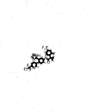 CCC(F)(F)c1ccc(-c2ccc(NC(=O)C3(c4ccc(C(F)(F)F)cc4F)CC3)cc2-c2nnn[nH]2)cn1